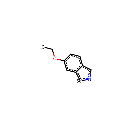 CCOc1ccc2cn[se]c2c1